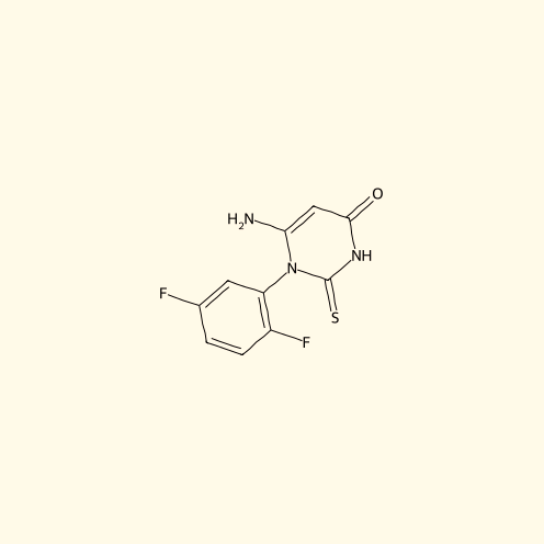 Nc1cc(=O)[nH]c(=S)n1-c1cc(F)ccc1F